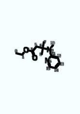 CCOC(=O)CC(C)(C)N(C)c1ccccn1